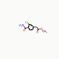 COC(=O)Cc1ccc(C(N)=O)c(Cl)c1